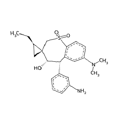 CC[C@@H]1C[C@]12CS(=O)(=O)c1ccc(N(C)C)cc1[C@H](c1cccc(N)c1)[C@@H]2O